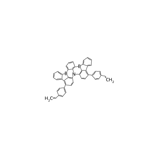 C=Cc1ccc(-c2ccc3c4c2-c2ccccc2B4c2cccc4c2N3c2ccc(-c3ccc(C=C)cc3)c3c2B4c2ccccc2-3)cc1